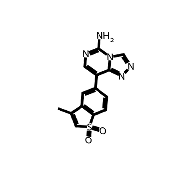 CC1=CS(=O)(=O)c2ccc(-c3cnc(N)n4cnnc34)cc21